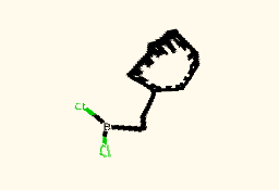 ClB(Cl)Cc1ccccc1